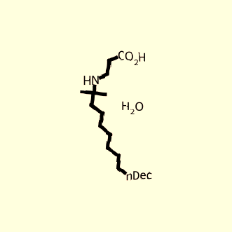 CCCCCCCCCCCCCCCCCC(C)(C)NCCC(=O)O.O